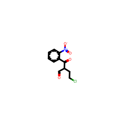 O=[C]C(CCCl)C(=O)c1ccccc1[N+](=O)[O-]